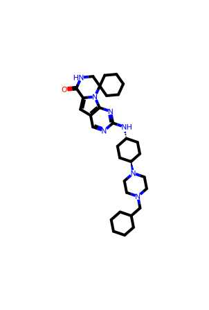 O=C1NCC2(CCCCC2)n2c1cc1cnc(N[C@H]3CC[C@H](N4CCN(CC5CCCCC5)CC4)CC3)nc12